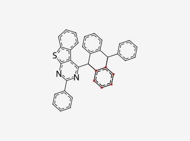 c1ccc(-c2nc(C34c5ccccc5C(c5ccccc5)(c5ccccc53)c3ccccc34)c3c(n2)sc2ccccc23)cc1